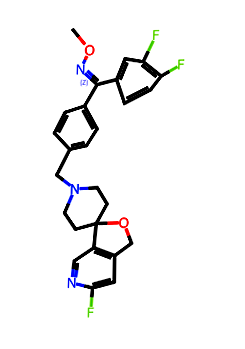 CO/N=C(/c1ccc(CN2CCC3(CC2)OCc2cc(F)ncc23)cc1)c1ccc(F)c(F)c1